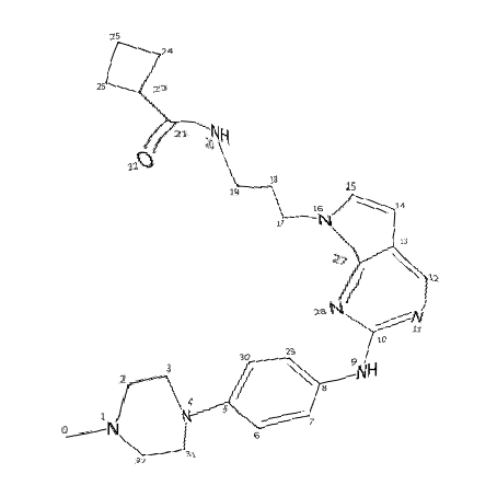 CN1CCN(c2ccc(Nc3ncc4ccn(CCCNC(=O)C5CCC5)c4n3)cc2)CC1